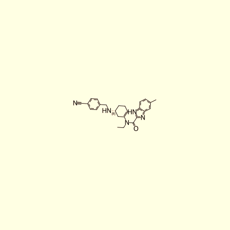 CCN(C(=O)c1nc2cc(C)ccc2[nH]1)C1=CCC[C@@H](NCc2ccc(C#N)cc2)C1